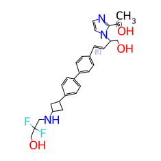 C[C@H](O)c1nccn1C(/C=C/c1ccc(-c2ccc(C3CC(NCC(F)(F)CO)C3)cc2)cc1)CO